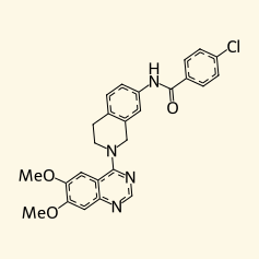 COc1cc2ncnc(N3CCc4ccc(NC(=O)c5ccc(Cl)cc5)cc4C3)c2cc1OC